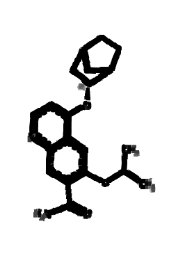 CC(C)Oc1cc2c(O[C@@H]3CC4CCC3C4)ccnc2cc1C(N)=O